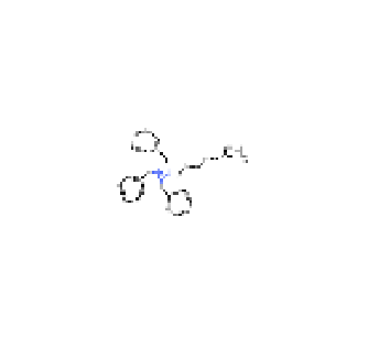 CCCCCC[N+](Cc1ccccc1)(Cc1ccccc1)Cc1ccccc1